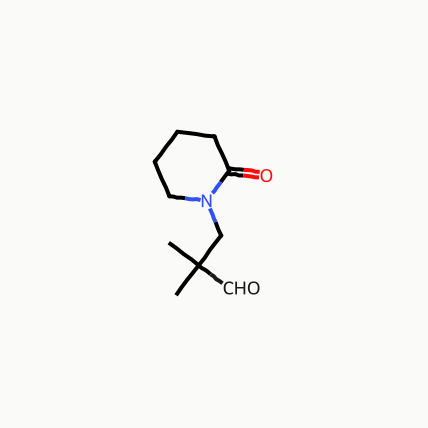 CC(C)(C=O)CN1CCCCC1=O